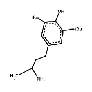 CC(N)CCc1cc(C(C)(C)C)c(O)c(C(C)(C)C)c1